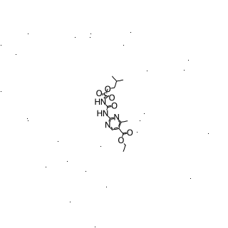 CCOC(=O)c1cnc(NC(=O)NS(=O)(=O)OCC(C)C)nc1C